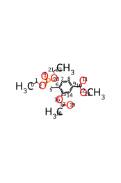 CCOP(=O)(Cc1ccc(C(=O)OC)cc1OC(C)=O)OCC